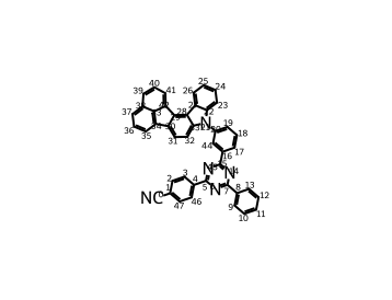 N#Cc1ccc(-c2nc(-c3ccccc3)nc(-c3cccc(-n4c5ccccc5c5c6c(ccc54)-c4cccc5cccc-6c45)c3)n2)cc1